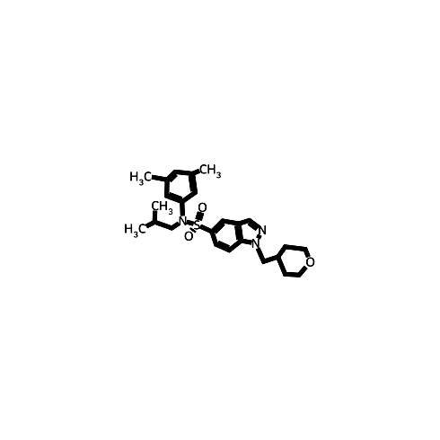 Cc1cc(C)cc(N(CC(C)C)S(=O)(=O)c2ccc3c(cnn3CC3CCOCC3)c2)c1